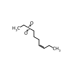 CC/C=C\CCCS(=O)(=O)CC